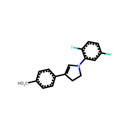 O=C(O)c1ccc(C2=CN(c3cc(F)ccc3F)CC2)cc1